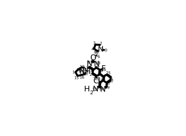 CN1CCC[C@H]1COc1nc(N2CC3CCC(C2)N3)c2cc(Cl)c(-c3cccc4cnc(N)cc34)c(F)c2n1